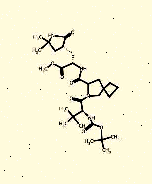 COC(=O)[C@H](C[C@@H]1CC(C)(C)NC1=O)NC(=O)C1CC2(CCC2)CN1C(=O)[C@@H](NC(=O)OC(C)(C)C)C(C)(C)C